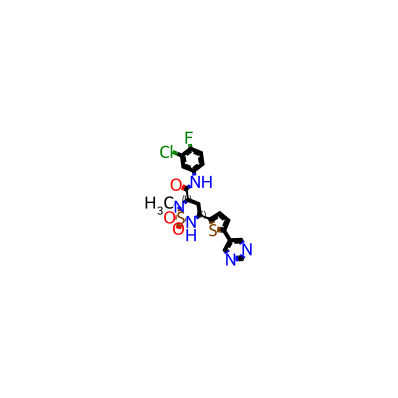 CN1[C@@H](C(=O)Nc2ccc(F)c(Cl)c2)C[C@@H](c2ccc(-c3cncnc3)s2)NS1(=O)=O